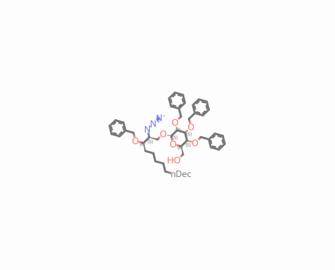 CCCCCCCCCCCCCCC[C@@H](OCc1ccccc1)[C@H](CO[C@H]1O[C@H](CO)[C@H](OCc2ccccc2)[C@H](OCc2ccccc2)[C@H]1OCc1ccccc1)N=[N+]=[N-]